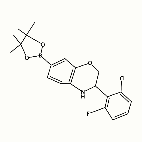 CC1(C)OB(c2ccc3c(c2)OCC(c2c(F)cccc2Cl)N3)OC1(C)C